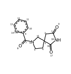 O=C1CC2(CCN(C(=O)c3ccccn3)C2)C(=O)N1